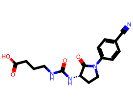 N#Cc1ccc(N2CC[C@H](NC(=O)NCCCC(=O)O)C2=O)cc1